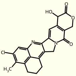 Cc1c(Cl)cc2nc3c(c4c2c1CCC4)Cn1c-3cc2c(c1=O)COC(=O)C2O